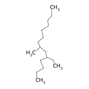 CCCCCCCC(C)[CH]C(CC)CCCC